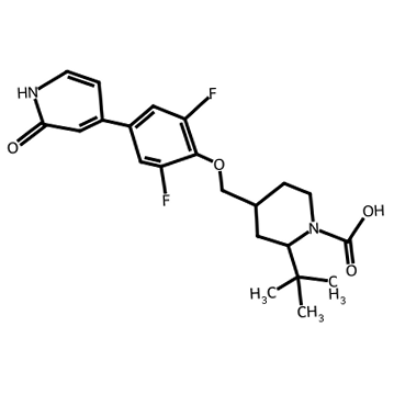 CC(C)(C)C1CC(COc2c(F)cc(-c3cc[nH]c(=O)c3)cc2F)CCN1C(=O)O